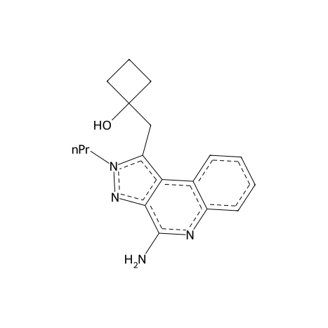 CCCn1nc2c(N)nc3ccccc3c2c1CC1(O)CCC1